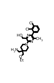 CCOCC1(CN)CCN(c2nc(C)c(-c3cccc(Cl)c3Cl)nc2CO)CC1